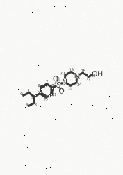 CCC(CC)c1ccc(S(=O)(=O)N2CCN(CCO)CC2)cc1